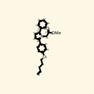 C=CCCCOc1ccc(-c2ccc(-c3ccccc3)n2CC(=O)OC)cc1